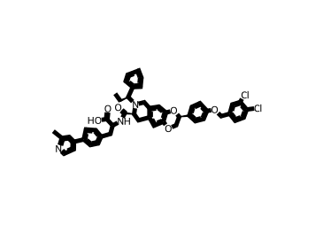 CC[C@@H](c1ccccc1)N1Cc2cc3c(cc2C[C@H]1C(=O)NC(Cc1ccc(-c2ccnc(C)c2)cc1)C(=O)O)OC[C@H](c1ccc(OCc2ccc(Cl)c(Cl)c2)cc1)O3